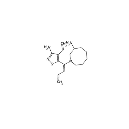 C=C/C=C(\c1snc(N)c1C=C)N1CCCCCC(N)C1